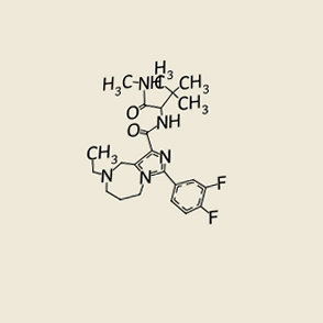 CCN1CCCn2c(-c3ccc(F)c(F)c3)nc(C(=O)NC(C(=O)NC)C(C)(C)C)c2C1